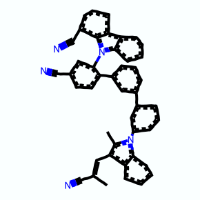 C/C(C#N)=C\c1c(C)n(-c2cccc(-c3cccc(-c4ccc(C#N)cc4-n4c5ccccc5c5cccc(C#N)c54)c3)c2)c2ccccc12